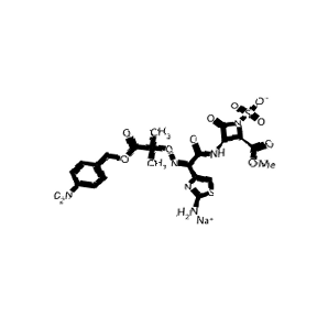 COC(=O)[C@H]1[C@@H](NC(=O)C(=NOC(C)(C)C(=O)OCc2ccc([N+](=O)[O-])cc2)c2csc(N)n2)C(=O)N1S(=O)(=O)[O-].[Na+]